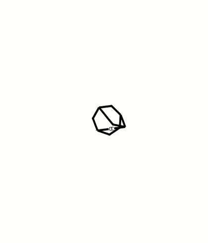 C1CC2CC3C[C]1CCC2C3